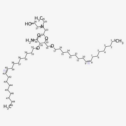 CCCCCCCC/C=C\CCCCCCCCOCC(OCCN(CC)CCO)C(OCCCCCCCC/C=C\CCCCCCCC)C(N)=O